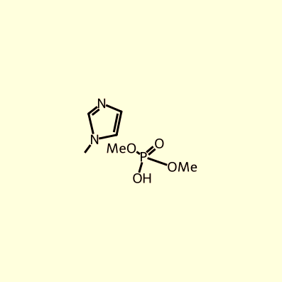 COP(=O)(O)OC.Cn1ccnc1